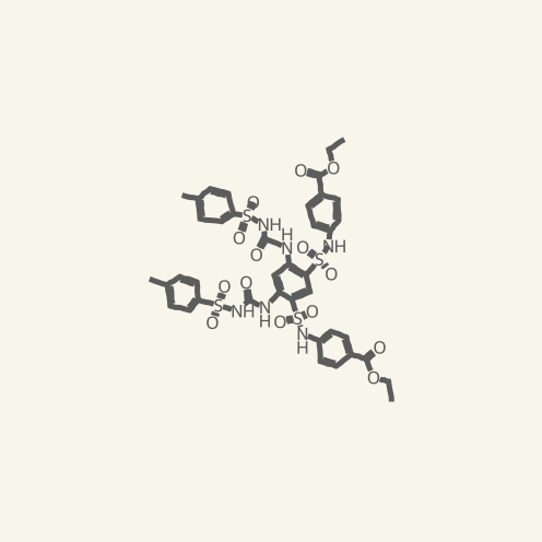 CCOC(=O)c1ccc(NS(=O)(=O)c2cc(S(=O)(=O)Nc3ccc(C(=O)OCC)cc3)c(NC(=O)NS(=O)(=O)c3ccc(C)cc3)cc2NC(=O)NS(=O)(=O)c2ccc(C)cc2)cc1